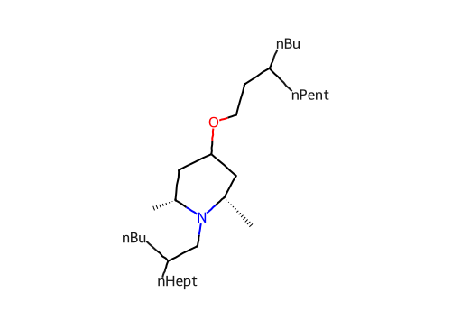 CCCCCCCC(CCCC)CN1[C@H](C)CC(OCCC(CCCC)CCCCC)C[C@@H]1C